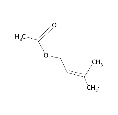 [CH2]/C(C)=C/COC(C)=O